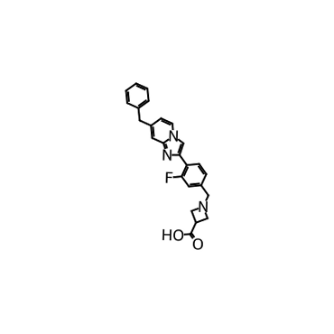 O=C(O)C1CN(Cc2ccc(-c3cn4ccc(Cc5ccccc5)cc4n3)c(F)c2)C1